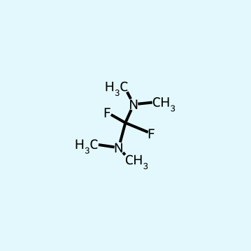 CN(C)C(F)(F)N(C)C